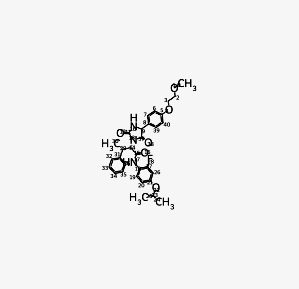 COCCOc1ccc(C2NC(=O)N([C@H](C(=O)Nc3ccc(OC(C)C)cc3F)[C@@H](C)c3ccccc3)C2=O)cc1